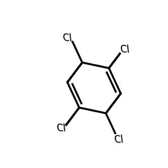 ClC1=CC(Cl)C(Cl)=CC1Cl